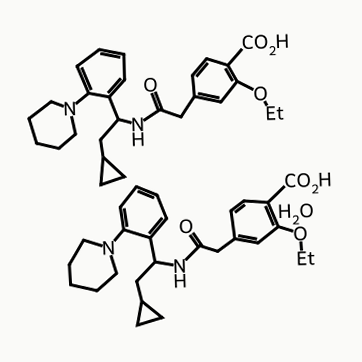 CCOc1cc(CC(=O)NC(CC2CC2)c2ccccc2N2CCCCC2)ccc1C(=O)O.CCOc1cc(CC(=O)NC(CC2CC2)c2ccccc2N2CCCCC2)ccc1C(=O)O.O